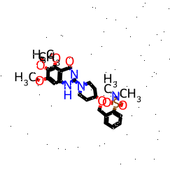 COc1cc2[nH]c(N3CCC(OCc4ccccc4S(=O)(=O)N(C)C)CC3)nc(=O)c2c(OC)c1OC